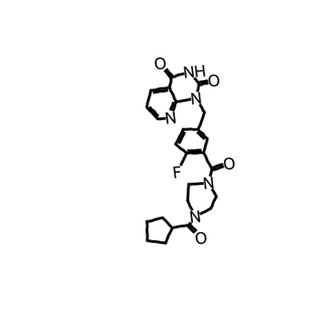 O=C(c1cc(Cn2c(=O)[nH]c(=O)c3cccnc32)ccc1F)N1CCN(C(=O)C2CCCC2)CC1